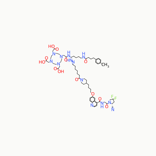 Cc1ccc(CCCC(=O)NCCCCC(N/N=C/CCCCCC(=O)N2CCC(CCCCOc3ccc4nccc(C(=O)NCC(=O)N5CC(F)(F)C[C@@H]5C#N)c4c3)CC2)NC(=O)CN2CCN(CC(=O)O)CCN(CC(=O)O)CCN(CC(=O)O)CC2)cc1